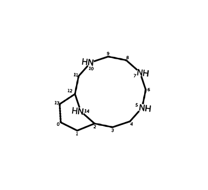 C1CC2CCNCNCCNCC(C1)N2